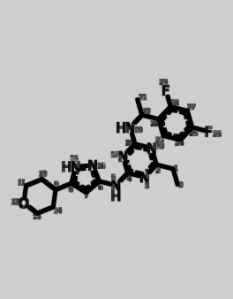 CCc1nc(Nc2cc(C3CCOCC3)[nH]n2)nc(NC(C)c2ccc(F)cc2F)n1